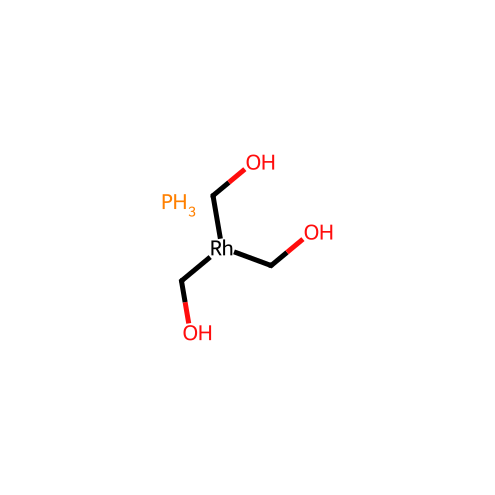 O[CH2][Rh]([CH2]O)[CH2]O.P